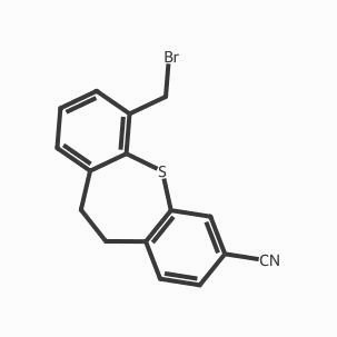 N#Cc1ccc2c(c1)Sc1c(CBr)cccc1CC2